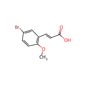 COc1ccc(Br)cc1C=CC(=O)O